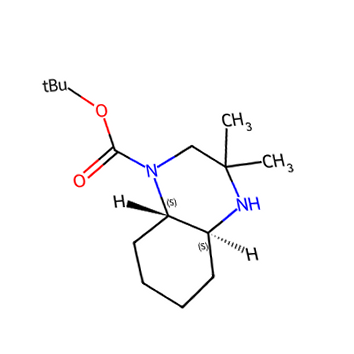 CC1(C)CN(C(=O)OC(C)(C)C)[C@H]2CCCC[C@@H]2N1